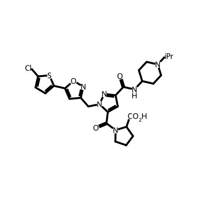 CC(C)N1CCC(NC(=O)c2cc(C(=O)N3CCCC3C(=O)O)n(Cc3cc(-c4ccc(Cl)s4)on3)n2)CC1